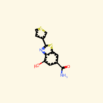 NC(=O)c1cc(O)c2nc(-c3ccsc3)sc2c1